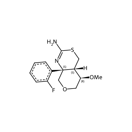 CO[C@H]1COC[C@]2(c3ccccc3F)N=C(N)SC[C@H]12